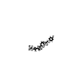 O=C(COc1ccc(F)cc1)N[C@H]1CC[C@H](c2noc(C3CC(OC(F)(F)F)C3)n2)OC1